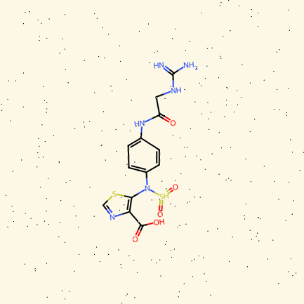 N=C(N)NCC(=O)Nc1ccc(N(c2scnc2C(=O)O)[SH](=O)=O)cc1